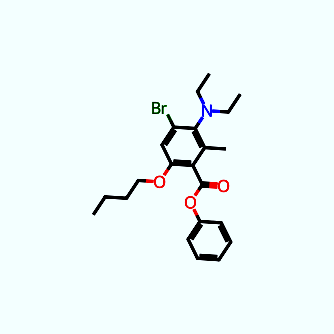 CCCCOc1cc(Br)c(N(CC)CC)c(C)c1C(=O)Oc1ccccc1